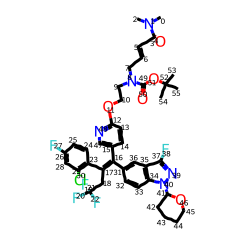 CN(C)C(=O)/C=C/CN(CCOc1ccc(/C(=C(/CC(F)(F)F)c2ccc(F)cc2Cl)c2ccc3c(c2)c(F)nn3C2CCCCO2)cn1)C(=O)OC(C)(C)C